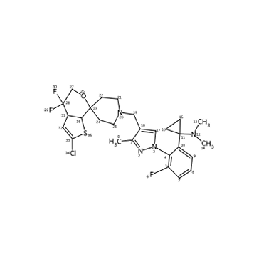 Cc1nn(-c2c(F)cccc2C2(N(C)C)CC2)cc1CN1CCC2(CC1)OCC(F)(F)C1C=C(Cl)SC12